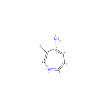 CC1=CN=C=CC=C1N